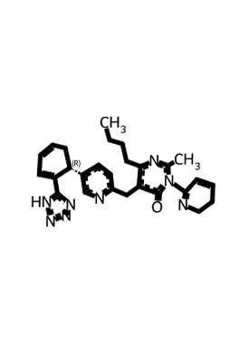 CCCCc1nc(C)n(C2=NCCC=C2)c(=O)c1Cc1ccc([C@H]2CC=CC=C2c2nnn[nH]2)cn1